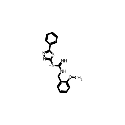 COc1ccccc1CNC(=N)Nc1nnc(-c2ccccc2)s1